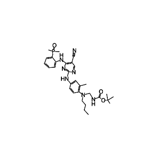 CCCCN(CNC(=O)OC(C)(C)C)c1ccc(Nc2ncc(C#N)c(Nc3ccccc3P(C)(C)=O)n2)cc1C